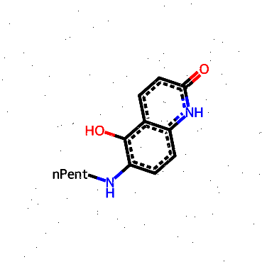 CCCCCNc1ccc2[nH]c(=O)ccc2c1O